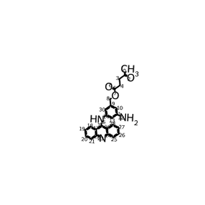 CC(=O)CCC(=O)OCc1cc(N)cc(Nc2c3ccccc3nc3ccccc23)c1